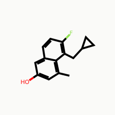 Cc1cc(O)cc2ccc(F)c(CC3CC3)c12